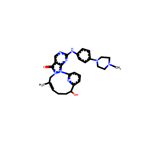 C/C1=C/CCC(O)c2cccc(n2)-n2c3nc(Nc4ccc(N5CCN(C)CC5)cc4)ncc3c(=O)n2C1